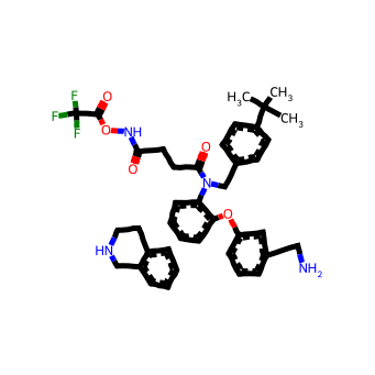 CC(C)(C)c1ccc(CN(C(=O)CCC(=O)NOC(=O)C(F)(F)F)c2ccccc2Oc2cccc(CN)c2)cc1.c1ccc2c(c1)CCNC2